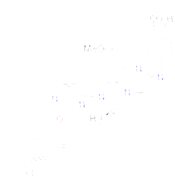 COCCn1c(CN2CCN(c3ccnc(OCc4ccc(Cl)cc4F)n3)[C@H](C)C2)nc2ccc(C(=O)O)cc21